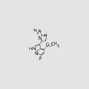 CCOc1cc(F)nc2[nH]cc(-c3ccnc(N)n3)c12